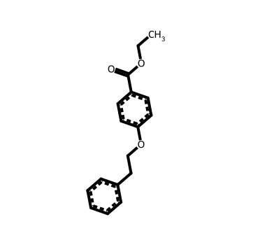 CCOC(=O)c1ccc(OCCc2ccccc2)cc1